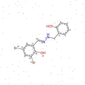 Oc1ccccc1CNN=Cc1cc(Br)cc(Br)c1O